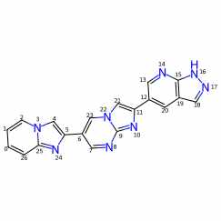 c1ccn2cc(-c3cnc4nc(-c5cnc6[nH]ncc6c5)cn4c3)nc2c1